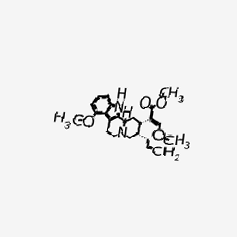 C=CC[C@@H]1CN2CCc3c([nH]c4cccc(OC)c34)[C@@H]2C[C@@H]1/C(=C\OC)C(=O)OC